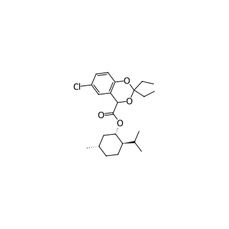 CCC1(CC)Oc2ccc(Cl)cc2C(C(=O)O[C@H]2C[C@@H](C)CC[C@@H]2C(C)C)O1